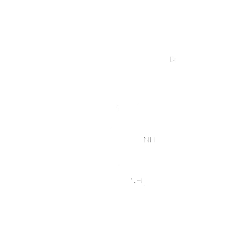 Nc1cccc2c1Nc1ccc(Br)cc1S2